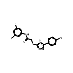 CCc1ccc(-c2nnc(SCC(=O)Nc3cc(F)cc(F)c3)[nH]2)cc1